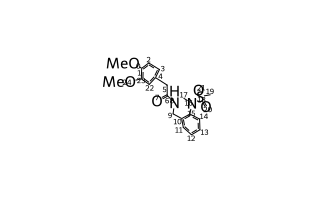 COc1ccc(CC(=O)NCc2ccccc2N(C)S(C)(=O)=O)cc1OC